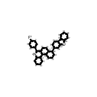 Fc1ccc(-c2nc3ccccc3c3c2ccc2c(-c4ccc5c(c4)oc4ccccc45)cccc23)cc1